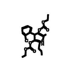 CCCC1=C(OC(=O)OCC)C(c2ccccc2Cl)C(OC(=O)OCC)=C(C)N1